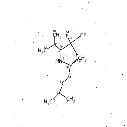 CC(C)CC[C@H](C)N[C@H](C(C)C)C(F)(F)F